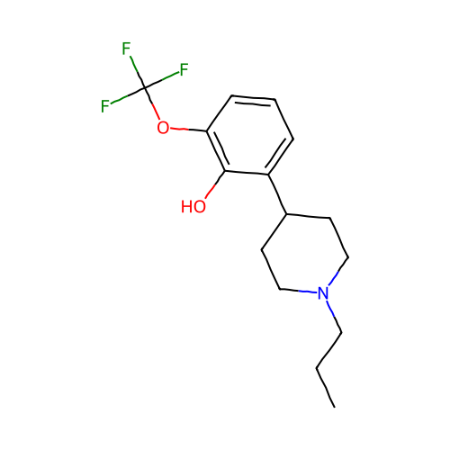 CCCN1CCC(c2cccc(OC(F)(F)F)c2O)CC1